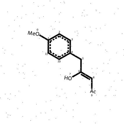 COc1ccc(CC(O)=CC(C)=O)cc1